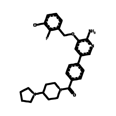 Nc1ncc(-c2ccc(C(=O)N3CCC(N4CCCC4)CC3)cc2)cc1OCc1cccc(Cl)c1F